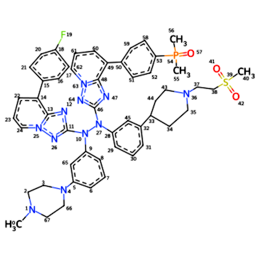 CN1CCN(c2cccc(N(c3nc4c(-c5ccc(F)cc5)cccn4n3)N(c3cccc(C4CCN(CCS(C)(=O)=O)CC4)c3)c3nc4c(-c5ccc(P(C)(C)=O)cc5)cccn4n3)c2)CC1